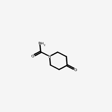 BC(=O)N1CCC(=O)CC1